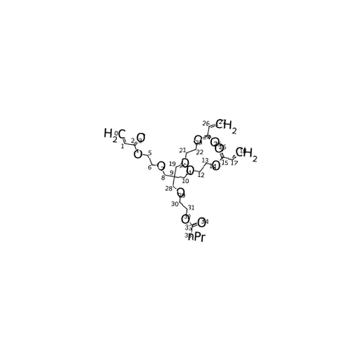 C=CC(=O)OCCOCC(COCCOC(=O)C=C)(COCCOC(=O)C=C)COCCOC(=O)CCC